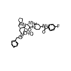 CC(C)(C)[C@H](NC(=O)[C@H](CC1CCCC1)CN(C=O)OCc1ccccc1)C(=O)N1CCC(NC(=O)c2ccc(F)cc2)CC1